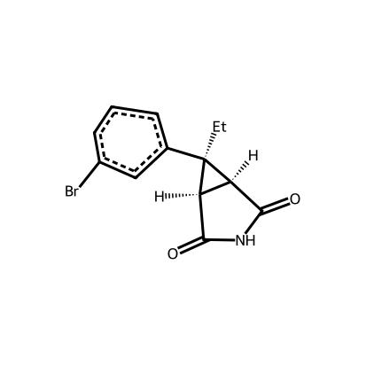 CC[C@@]1(c2cccc(Br)c2)[C@@H]2C(=O)NC(=O)[C@@H]21